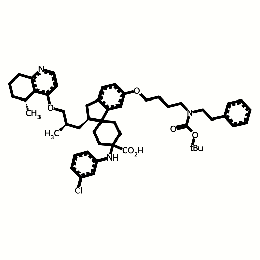 C[C@@H](COc1ccnc2c1[C@H](C)CCC2)C[C@H]1Cc2ccc(OCCCCN(CCc3ccccc3)C(=O)OC(C)(C)C)cc2C12CCC(Nc1cccc(Cl)c1)(C(=O)O)CC2